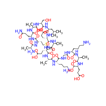 CSCC[C@H](NC(=O)[C@H](C)N)C(=O)N[C@@H](CCC(N)=O)C(=O)N[C@@H](C)C(=O)N[C@@H](CO)C(=O)N[C@@H](CC(C)C)C(=O)N[C@@H](CCC(=O)O)C(=O)N[C@@H](C)C(=O)N[C@@H](CCC(=O)O)C(=O)N[C@@H](C)C(=O)N[C@@H](CCCCN)C(=O)NCC(=O)N[C@@H](CCCCN)C(=O)N[C@@H](C)C(=O)N[C@@H](CCC(=O)O)C(=O)O